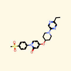 CCc1cnc(N2CCC(Oc3ccn(-c4ccc(S(C)(=O)=O)cc4)c(=O)c3)CC2)cn1